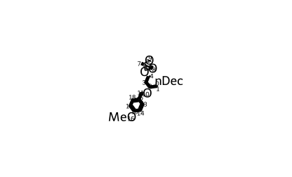 CCCCCCCCCCCC(CCOS(C)(=O)=O)OCc1ccc(OC)cc1